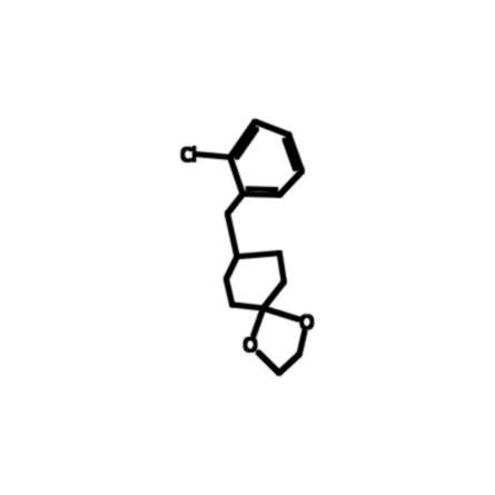 Clc1ccccc1CC1CCC2(CC1)OCCO2